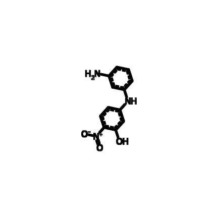 Nc1cccc(Nc2ccc([N+](=O)[O-])c(O)c2)c1